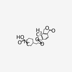 Cc1c(S(=O)(=O)CC2CCN(C(=O)O)CC2)ccc2c1COC2=O